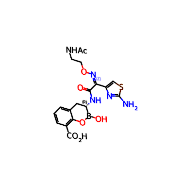 CC(=O)NCCO/N=C(\C(=O)N[C@H]1Cc2cccc(C(=O)O)c2OB1O)c1csc(N)n1